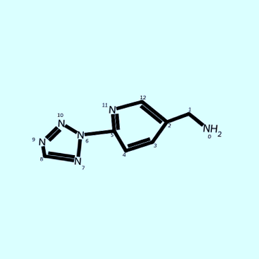 NCc1ccc(-n2ncnn2)nc1